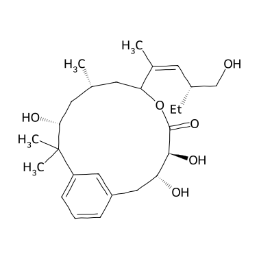 CC[C@H](/C=C(/C)C1C[C@@H](C)C[C@@H](O)C(C)(C)c2cccc(c2)C[C@@H](O)[C@H](O)C(=O)O1)CO